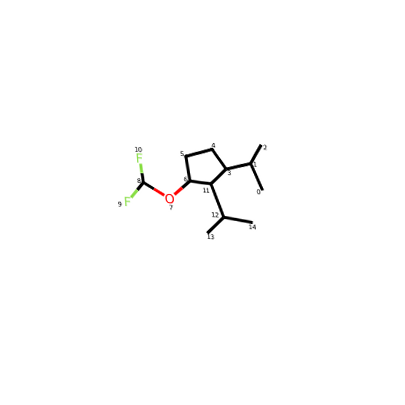 CC(C)C1CCC(OC(F)F)C1C(C)C